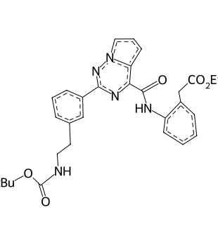 CCOC(=O)Cc1ccccc1NC(=O)c1nc(-c2cccc(CCNC(=O)OC(C)(C)C)c2)nn2cccc12